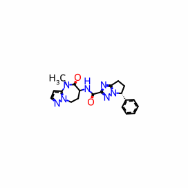 CN1C(=O)C(NC(=O)c2nc3n(n2)[C@@H](c2ccccc2)CC3)CCn2nccc21